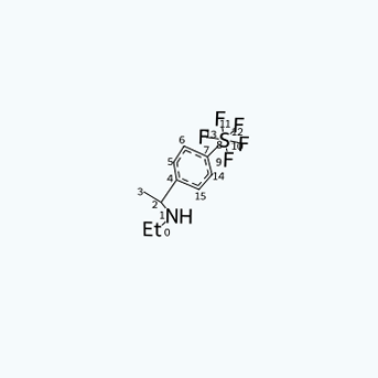 CCNC(C)c1ccc(S(F)(F)(F)(F)F)cc1